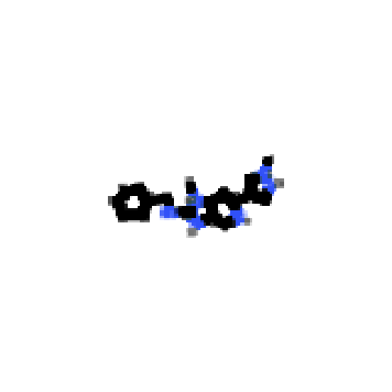 Cn1cc(-c2cc3c(cn2)nc(NCc2ccccc2)n3C)cn1